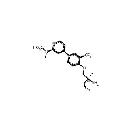 CC(C)C[C@](C)(N)COc1ccc(-c2ccnc(N(C)C(=O)O)c2)cc1C(F)(F)F